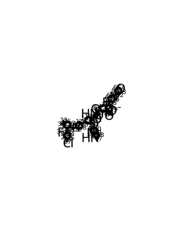 CN(c1ccc(S(=O)(=O)NC(=O)c2ccc(C3=CCN(CC4=C(c5ccc(Cl)cc5F)CC(C)(C)CC4)CC3)cc2Oc2cnc3[nH]ccc3c2)cc1[N+](=O)[O-])C1(F)CCN(C2CCOCC2)CC1